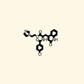 O=C(NC(Cc1cc(=O)[nH]c2ccccc12)C(=O)OCCn1ccnc1)c1ccc(Cl)cc1